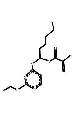 C=C(C)C(=O)OC(CCCCC)Sc1ccnc(OCC)n1